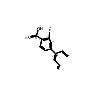 C=C/C=C(\C=C)c1ccc(C(=O)O)c(F)c1